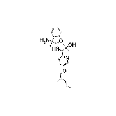 CCCC(C)COc1ccc([C@@H](NC(=O)[C@](C)(N)c2ccccc2)C(C)(C)O)nc1